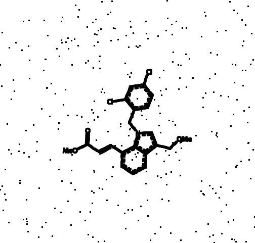 COCc1cn(Cc2ccc(Cl)cc2Cl)c2c(C=CC(=O)OC)cccc12